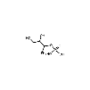 O=P(O)(O)OC(P)C(O)CO